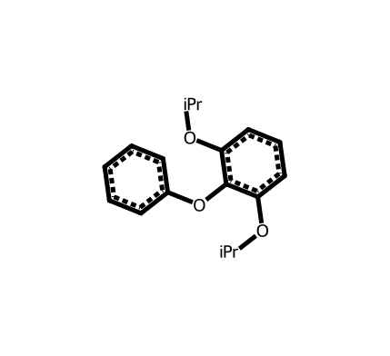 CC(C)Oc1cccc(OC(C)C)c1Oc1ccccc1